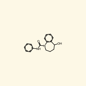 O=C(Nc1ccccc1)N1CCCC(O)c2ccccc21